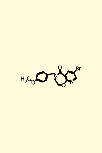 COc1ccc(CN2CCOc3ncc(Br)cc3C2=O)cc1